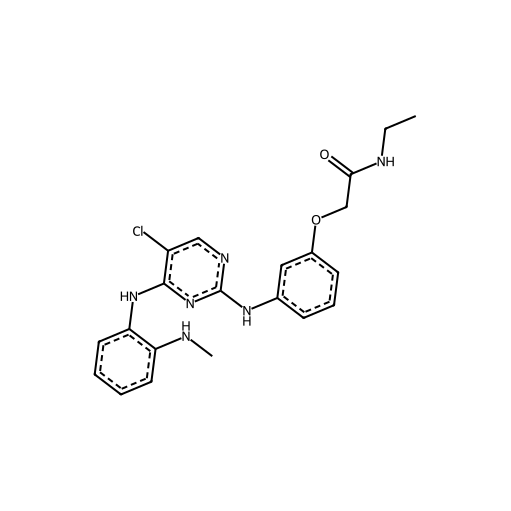 CCNC(=O)COc1cccc(Nc2ncc(Cl)c(Nc3ccccc3NC)n2)c1